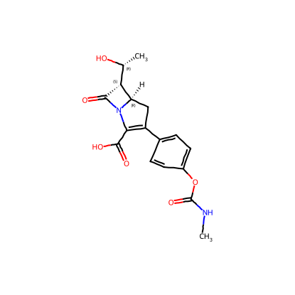 CNC(=O)Oc1ccc(C2=C(C(=O)O)N3C(=O)[C@H]([C@@H](C)O)[C@H]3C2)cc1